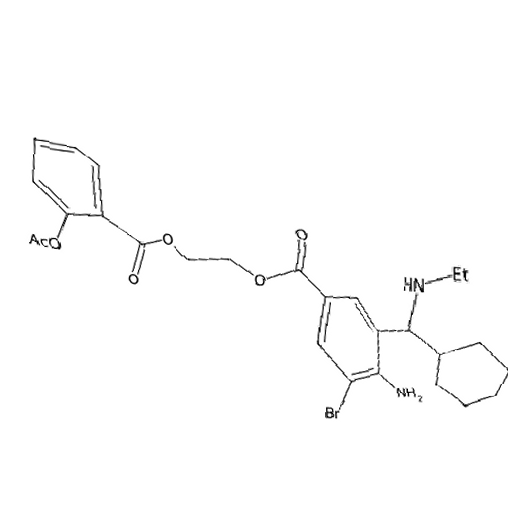 CCNC(c1cc(C(=O)OCCOC(=O)c2ccccc2OC(C)=O)cc(Br)c1N)C1CCCCC1